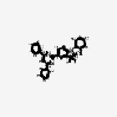 CC1(C)c2cc(-c3nc(-c4ccccc4)cc(-c4ccccc4)n3)ccc2-n2c1nc1ccccc12